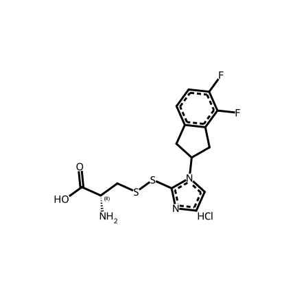 Cl.N[C@@H](CSSc1nccn1C1Cc2ccc(F)c(F)c2C1)C(=O)O